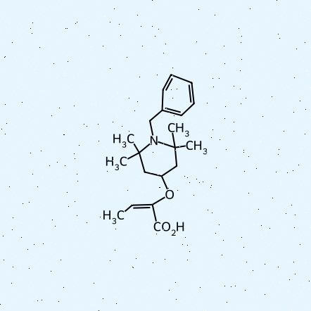 CC=C(OC1CC(C)(C)N(Cc2ccccc2)C(C)(C)C1)C(=O)O